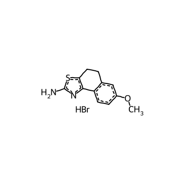 Br.COc1ccc2c(c1)CCc1sc(N)nc1-2